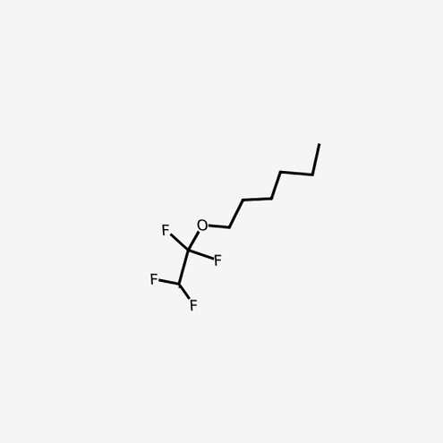 CCCCCCOC(F)(F)[C](F)F